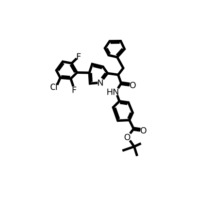 CC(C)(C)OC(=O)c1ccc(NC(=O)C(Cc2ccccc2)c2ccc(-c3c(F)ccc(Cl)c3F)cn2)cc1